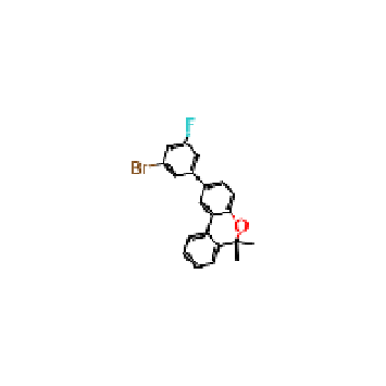 CC1(C)Oc2ccc(-c3cc(F)cc(Br)c3)cc2-c2ccccc21